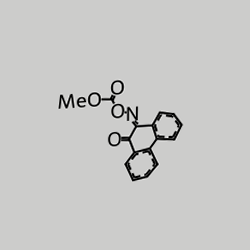 COC(=O)ON=C1C(=O)c2ccccc2-c2ccccc21